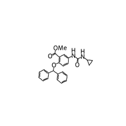 COC(=O)c1cc(NC(=O)NC2CC2)ccc1OC(c1ccccc1)c1ccccc1